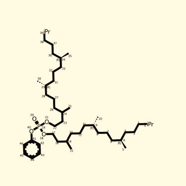 CC(C)CCC[C@@H](C)CCC[C@@H](C)CCCC(C)CCOP(=O)(OCCC(C)CCC[C@H](C)CCC[C@H](C)CCCC(C)C)Oc1ccccc1